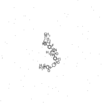 COCCCn1ncc(-c2ccc(-c3cnc(C(=O)Nc4ccc(C(=O)N5CCC(CN6CC[N+](C)(C)CC6=O)CC5)c(Cl)c4)n3C)c(F)c2F)c1C